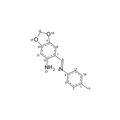 Cc1ccc(N=Cc2cc3c(cc2N)OCO3)cc1